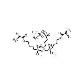 C=C(CC)C(=O)OCCCC[Si](C)(C)C[Si](C)(CCCS(=O)(=O)O[Si](C)(C)C)O[Si](C)(C)CCCCOC(=O)C(=C)CC